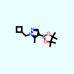 Cc1c(B2OC(C)(C)C(C)(C)O2)cnn1CC1CCC1